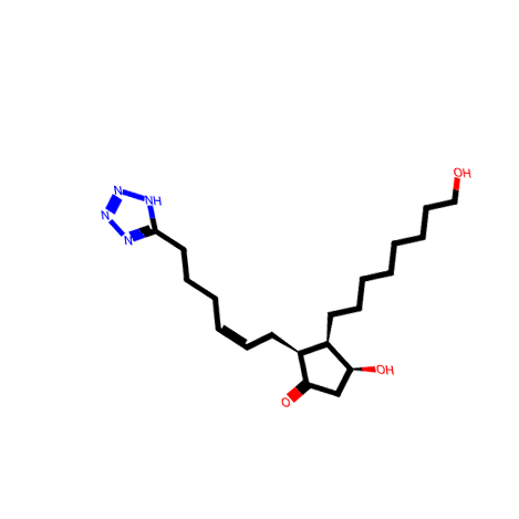 O=C1C[C@H](O)[C@H](CCCCCCCCO)[C@@H]1C/C=C\CCCc1nnn[nH]1